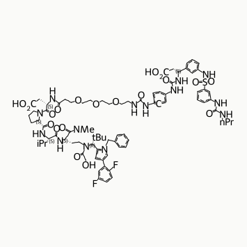 CCCNC(=O)Nc1cccc(S(=O)(=O)Nc2cccc([C@@H](CC(=O)O)NC(=O)Nc3ccc(NC(=O)NCCOCCOCCOCCC(=O)N[C@@H](CC(=O)O)C(=O)N4CCC[C@H]4C(=O)N[C@H](C(=O)N[C@@H](CCN(C(=O)CO)[C@@H](c4cc(-c5cc(F)ccc5F)cn4Cc4ccccc4)C(C)(C)C)C(=O)NC)C(C)C)cc3)c2)c1